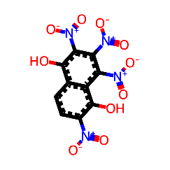 O=[N+]([O-])c1ccc2c(O)c([N+](=O)[O-])c([N+](=O)[O-])c([N+](=O)[O-])c2c1O